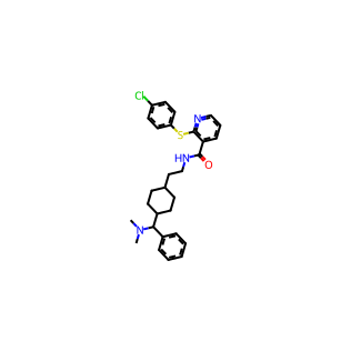 CN(C)C(c1ccccc1)C1CCC(CCNC(=O)c2cccnc2Sc2ccc(Cl)cc2)CC1